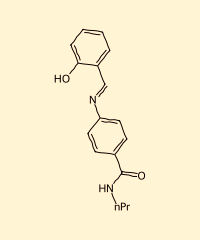 CCCNC(=O)c1ccc(N=Cc2ccccc2O)cc1